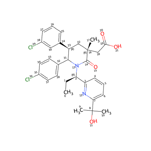 CC[C@H](c1cccc(C(C)(C)O)n1)N1C(=O)[C@@](C)(CC(=O)O)C[C@H](c2cccc(Cl)c2)C1c1ccc(Cl)cc1